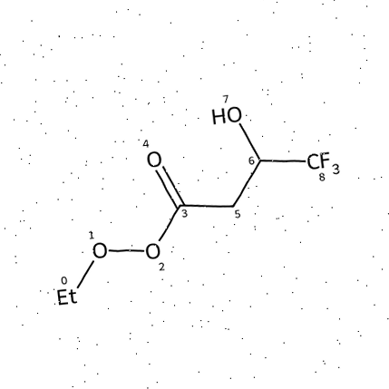 CCOOC(=O)CC(O)C(F)(F)F